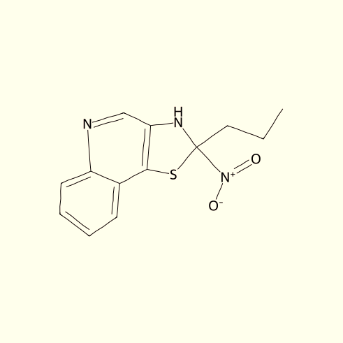 CCCC1([N+](=O)[O-])Nc2cnc3ccccc3c2S1